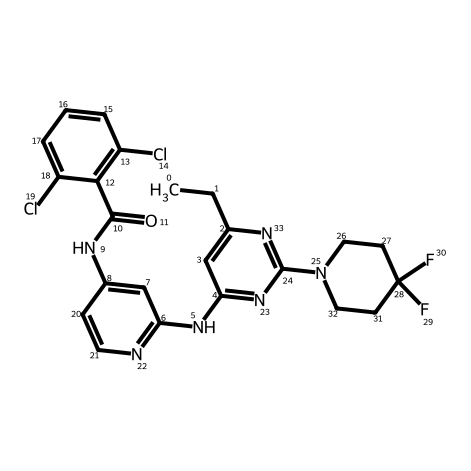 CCc1cc(Nc2cc(NC(=O)c3c(Cl)cccc3Cl)ccn2)nc(N2CCC(F)(F)CC2)n1